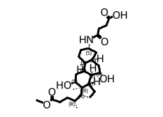 COC(=O)CC[C@@H](C)[C@H]1CC[C@H]2[C@@H]3[C@H](O)C[C@@H]4C[C@@H](NC(=O)CCC(=O)O)CC[C@]4(C)[C@H]3C[C@H](O)[C@]12C